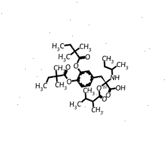 CCC(C)N[C@@](Cc1ccc(OC(=O)C(C)(C)CC)c(OC(=O)C(C)(C)CC)c1)(OC(=O)C(C)C(C)C)C(=O)O